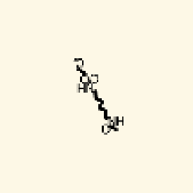 COCCOC(=O)NCCCCCCNC(C)=O